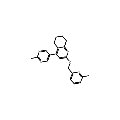 Cc1cccc(COc2cc(-c3cnc(C)nc3)c3c(n2)CCCC3)n1